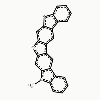 Cn1c2ccccc2c2cc3c(cc21)sc1cc2sc4ccccc4c2cc13